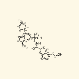 COc1cc(C(=O)NCC(O)(c2cc3c(C)c[nH]c3c(-c3ccc(F)cc3)n2)C(F)(F)F)ccc1OCCO